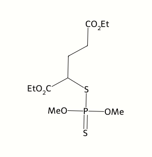 CCOC(=O)CCC(SP(=S)(OC)OC)C(=O)OCC